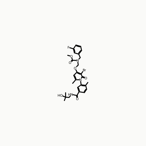 COC(=O)N(COc1cc(C)n(-c2cc(C(=O)NCC(C)(C)O)ccc2C)c(=O)c1Br)Cc1cccc(F)c1